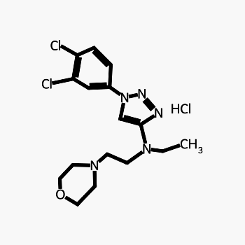 CCN(CCN1CCOCC1)c1cn(-c2ccc(Cl)c(Cl)c2)nn1.Cl